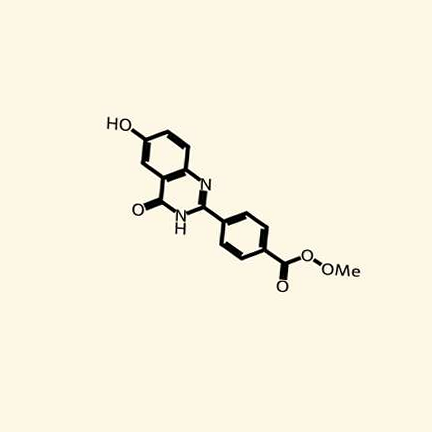 COOC(=O)c1ccc(-c2nc3ccc(O)cc3c(=O)[nH]2)cc1